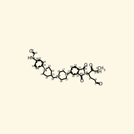 CNC(=O)C(CCC=O)N1C(=O)c2ccc(N3CCN(CC4CCN(c5ccc(NC=O)cn5)CC4)CC3)cc2C1=O